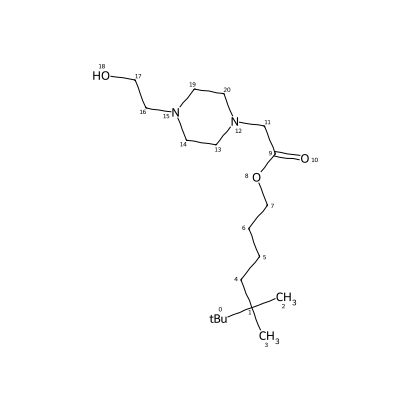 CC(C)(C)C(C)(C)CCCCOC(=O)CN1CCN(CCO)CC1